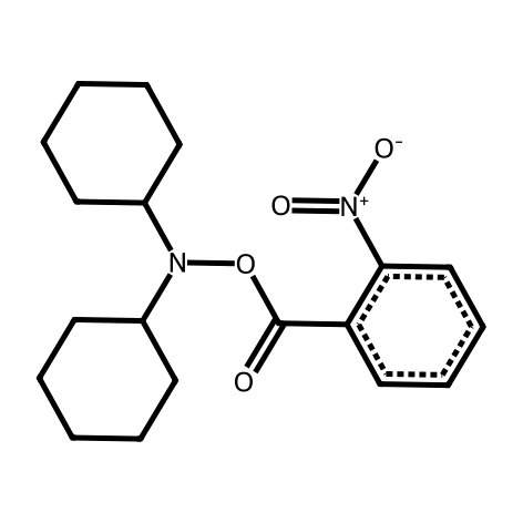 O=C(ON(C1CCCCC1)C1CCCCC1)c1ccccc1[N+](=O)[O-]